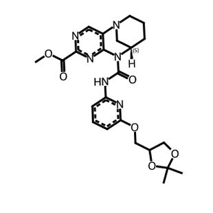 COC(=O)c1ncc2c(n1)N(C(=O)Nc1cccc(OCC3COC(C)(C)O3)n1)[C@H]1CCCN2C1